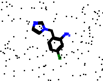 Nc1cc(Cl)ccc1Cn1ccnc1